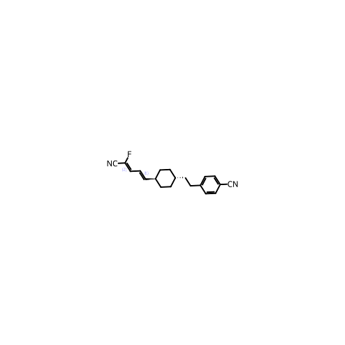 N#C/C(F)=C/C=C/[C@H]1CC[C@H](CCc2ccc(C#N)cc2)CC1